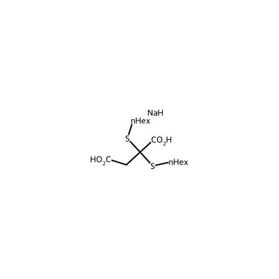 CCCCCCSC(CC(=O)O)(SCCCCCC)C(=O)O.[NaH]